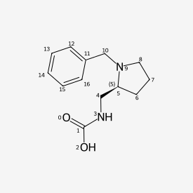 O=C(O)NC[C@@H]1CCCN1Cc1ccccc1